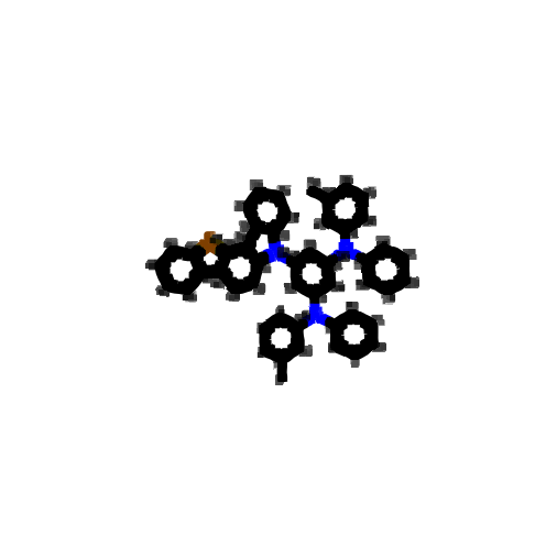 Cc1cccc(N(c2ccccc2)c2cc(N(c3ccccc3)c3cccc(C)c3)cc(-n3c4ccccc4c4c5sc6ccccc6c5ccc43)c2)c1